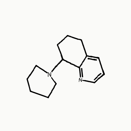 c1cnc2c(c1)CCCC2N1CCCCC1